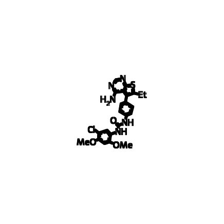 CCc1sc2ncnc(N)c2c1-c1ccc(NC(=O)Nc2cc(Cl)c(OC)cc2OC)cc1